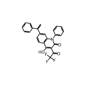 C=C(c1ccccc1)c1ccc2c(O)c(C(=O)C(F)(F)F)c(=O)n(-c3ccccc3)c2c1